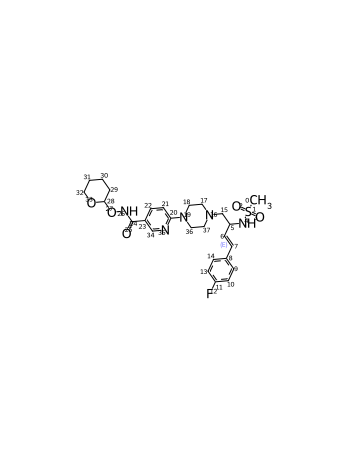 CS(=O)(=O)NC(/C=C/c1ccc(F)cc1)CN1CCN(c2ccc(C(=O)NOC3CCCCO3)cn2)CC1